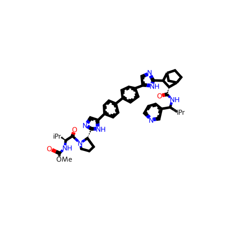 COC(=O)N[C@H](C(=O)N1CCC[C@H]1c1ncc(-c2ccc(-c3ccc(-c4cnc(C5C6CCC(C6)[C@@H]5C(=O)NC(c5cccnc5)C(C)C)[nH]4)cc3)cc2)[nH]1)C(C)C